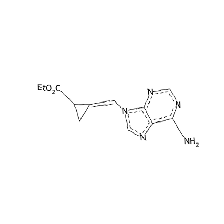 CCOC(=O)C1CC1=Cn1cnc2c(N)ncnc21